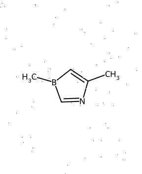 CB1C=NC(C)=C1